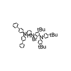 CC(C)(C)c1ccc(N(c2ccc(C(C)(C)C)cc2)c2cc(C(C)(C)C)cc(Nc3cccc(N(c4ccc(-c5ccccc5)cc4)c4ccc(-c5ccccc5)cc4)c3)c2Br)cc1